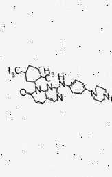 CC1CCC(C)C(n2c(=O)ccc3cnc(Nc4ccc(N5CCN(C)CC5)cc4)nc32)C1